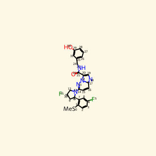 CSc1ccc(F)cc1[C@H]1C[C@H](F)CN1c1ccc2ncc(C(=O)NCc3cccc(O)c3)n2n1